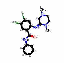 CN1CCN(C)C(=Nc2cc(F)c(F)cc2C(=O)Nc2ccccc2)C1